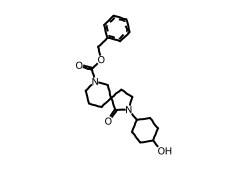 O=C(OCc1ccccc1)N1CCCC2(CCN(C3CCC(O)CC3)C2=O)C1